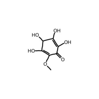 COC1=C(O)C(O)C(O)=C(O)C1=O